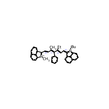 CCC(=C\C=c1/c2cccc3cccc(c32)n1C(C)CC)/C(=C(C)/C=C/C1=[N+](C)c2cccc3cccc1c23)c1ccccc1